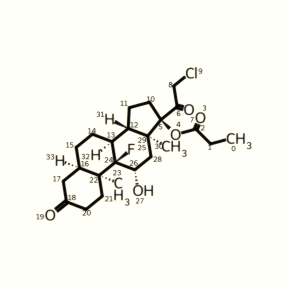 CCC(=O)O[C@]1(C(=O)CCl)CC[C@H]2[C@@H]3CC[C@@H]4CC(=O)CC[C@]4(C)[C@@]3(F)[C@@H](O)C[C@@]21C